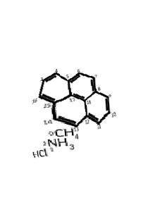 C.Cl.N.c1cc2ccc3cccc4ccc(c1)c2c34